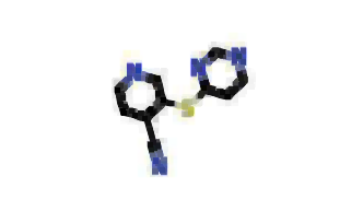 N#Cc1ccncc1Sc1ccncn1